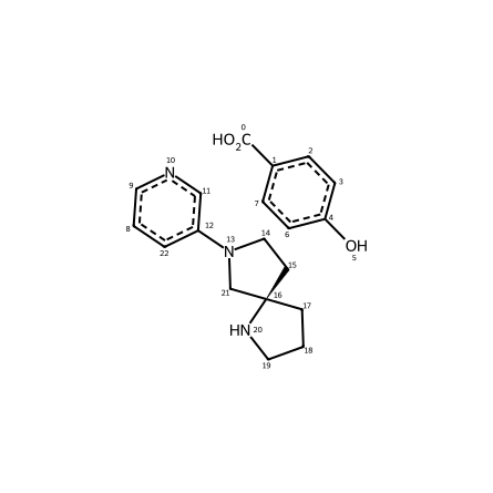 O=C(O)c1ccc(O)cc1.c1cncc(N2CC[C@]3(CCCN3)C2)c1